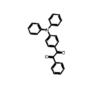 O=C(C(=O)c1ccc(N(c2ccccc2)c2ccccc2)cc1)c1ccccc1